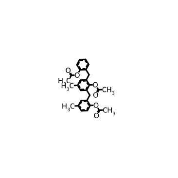 CC(=O)Oc1ccccc1Cc1cc(C)cc(Cc2cc(C)ccc2OC(C)=O)c1OC(C)=O